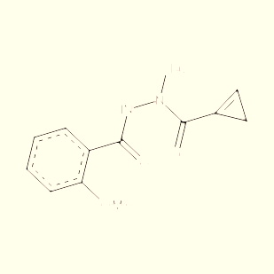 COc1ccccc1C(=O)NN(C(=O)C1=CC1)C(C)(C)C